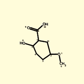 COC1CCC(O)C(C(=O)O)C1